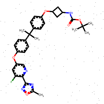 Cc1nc(-c2ncc(Oc3ccc(C(C)(C)c4ccc(OC5CC(NC(=O)OC(C)(C)C)C5)cc4)cc3)cc2F)no1